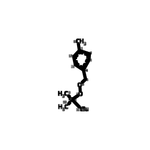 Cc1ccc(COO[Si](C)(C)C(C)(C)C)cc1